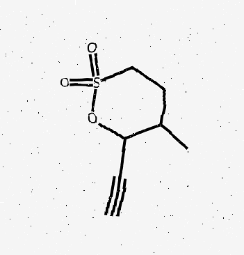 C#CC1OS(=O)(=O)CCC1C